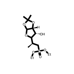 CCOP(=O)(C[C@@H](C)C1OC2OC(C)(C)O[C@@H]2[C@@H]1O)OCC